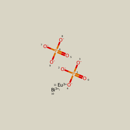 O=P([O-])([O-])[O-].O=P([O-])([O-])[O-].[Bi+3].[Eu+3]